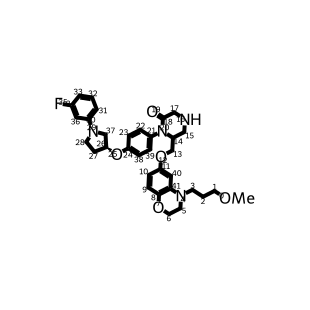 COCCCN1CCOc2ccc(OCC3CNCC(=O)N3c3ccc(O[C@H]4CCN(c5cccc(F)c5)C4)cc3)cc21